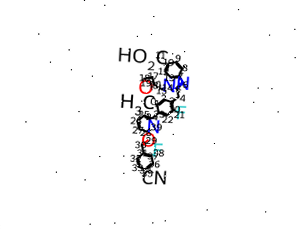 Cc1cc(Cc2nc3ccc(C(=O)O)cc3n2C[C@@H]2CCO2)c(F)cc1-c1cccc(OCc2ccc(C#N)cc2F)n1